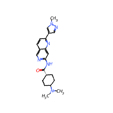 Cn1cc(-c2ccc3cnc(NC(=O)[C@H]4CC[C@H](N(C)C)CC4)cc3n2)cn1